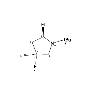 CC[C@@H]1CC(F)(F)CN1C(C)(C)C